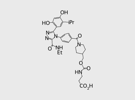 CCNC(=O)c1nnc(-c2cc(C(C)C)c(O)cc2O)n1-c1ccc(C(=O)N2CCC(COC(=O)NCCC(=O)O)CC2)cc1